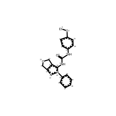 CCOc1ccc(NC(=O)Nc2c3c(nn2-c2ccccc2)COC3)cc1